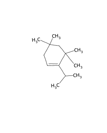 CC(C)C1=CCC(C)(C)CC1(C)C